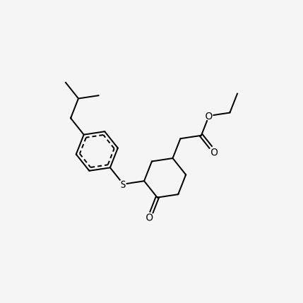 CCOC(=O)CC1CCC(=O)C(Sc2ccc(CC(C)C)cc2)C1